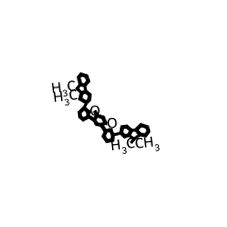 CC1(C)c2ccccc2-c2ccc(-c3cccc4c3oc3cc5oc6c(-c7ccc8c(c7)C(C)(C)c7ccccc7-8)cccc6c5cc34)cc21